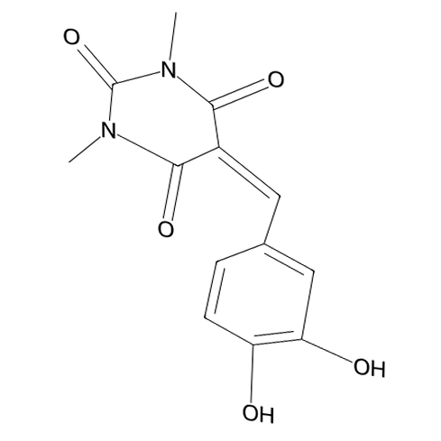 CN1C(=O)C(=Cc2ccc(O)c(O)c2)C(=O)N(C)C1=O